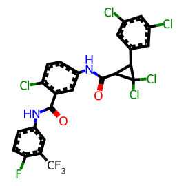 O=C(Nc1ccc(F)c(C(F)(F)F)c1)c1cc(NC(=O)C2C(c3cc(Cl)cc(Cl)c3)C2(Cl)Cl)ccc1Cl